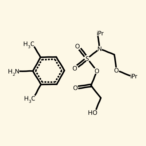 CC(C)OCN(C(C)C)S(=O)(=O)OC(=O)CO.Cc1cccc(C)c1N